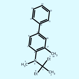 CCC(C)(CC)N(C)c1ccc(-c2ccccc2)cc1C